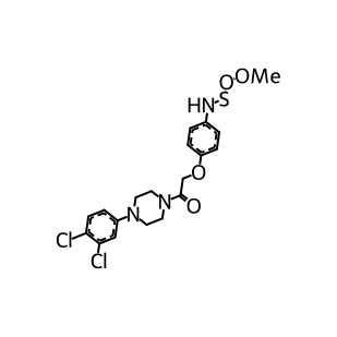 COOSNc1ccc(OCC(=O)N2CCN(c3ccc(Cl)c(Cl)c3)CC2)cc1